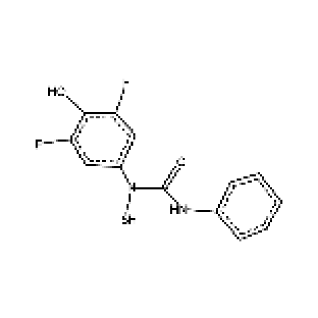 O=C(Nc1ccccc1)N(S)c1cc(F)c(O)c(F)c1